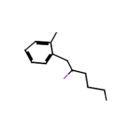 CCCCCCCCCCCC(I)Cc1ccccc1C